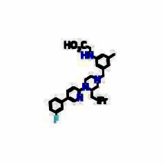 Cc1cc(CN2CCN(c3ccc(-c4cccc(F)c4)cn3)[C@H](CC(C)C)C2)cc(NCC(=O)O)c1